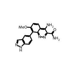 COc1ccc2c(N)c(C(N)=O)nnc2c1-c1ccc2[nH]ncc2c1